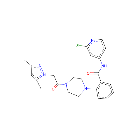 Cc1cc(C)n(CC(=O)N2CCN(c3ccccc3C(=O)Nc3ccnc(Br)c3)CC2)n1